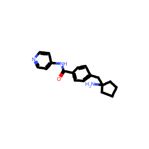 NC1(Cc2ccc(C(=O)Nc3ccncc3)cc2)CCCC1